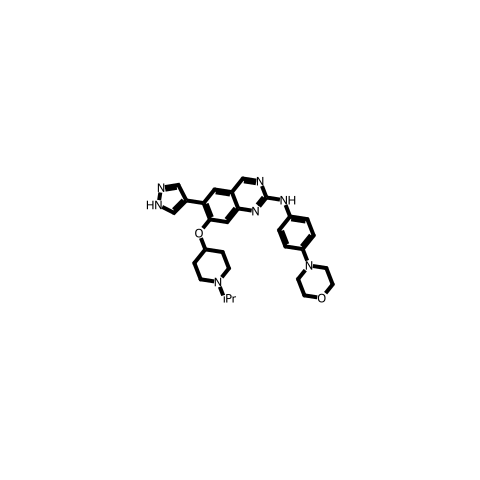 CC(C)N1CCC(Oc2cc3nc(Nc4ccc(N5CCOCC5)cc4)ncc3cc2-c2cn[nH]c2)CC1